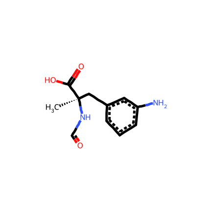 C[C@](Cc1cccc(N)c1)(NC=O)C(=O)O